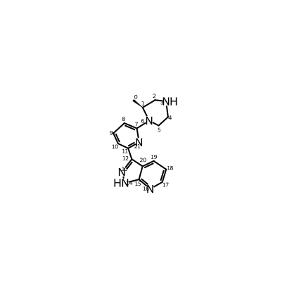 C[C@H]1CNCCN1c1cccc(-c2n[nH]c3ncccc23)n1